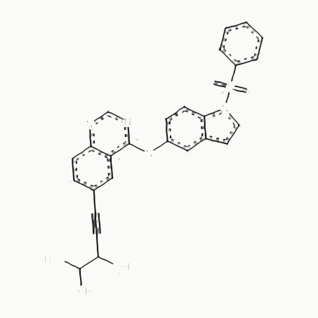 CC(C)C(O)C#Cc1ccc2ncnc(Nc3ccc4c(ccn4S(=O)(=O)c4ccccc4)c3)c2c1